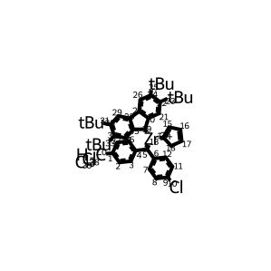 Cc1ccc(/[C](c2ccc(Cl)cc2)=[Zr+2](/[C]2=CC=CC2)[CH]2c3cc(C(C)(C)C)c(C(C)(C)C)cc3-c3cc(C(C)(C)C)c(C(C)(C)C)cc32)cc1.[Cl-].[Cl-]